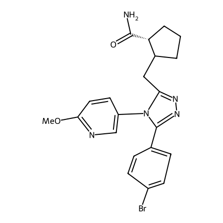 COc1ccc(-n2c(CC3CCC[C@H]3C(N)=O)nnc2-c2ccc(Br)cc2)cn1